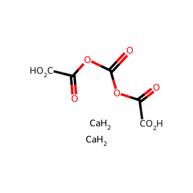 O=C(OC(=O)C(=O)O)OC(=O)C(=O)O.[CaH2].[CaH2]